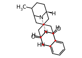 CC1CC[C@@H]2C[C@H](n3c(=O)[nH]c4ccccc4c3=O)CC1N2[C@H]1C[C@@H]2CCC[C@@H](C2)C1